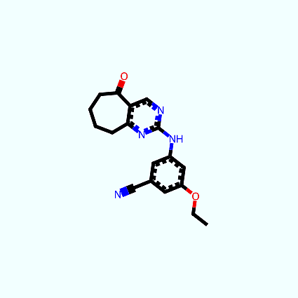 CCOc1cc(C#N)cc(Nc2ncc3c(n2)CCCCC3=O)c1